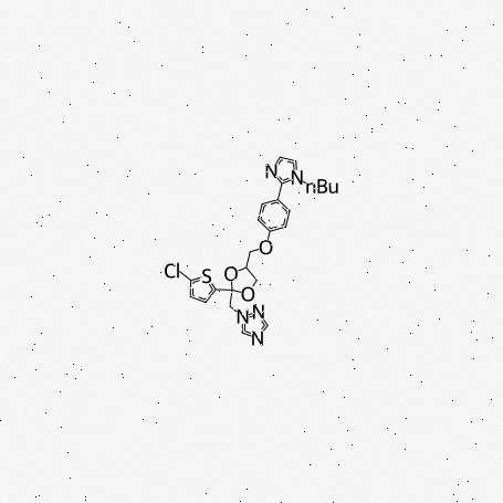 CCCCn1ccnc1-c1ccc(OCC2COC(Cn3cncn3)(c3ccc(Cl)s3)O2)cc1